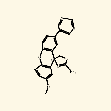 COc1ccc2c(c1)[C@]1(COC(N)=N1)c1cc(-c3cncnc3)ccc1O2